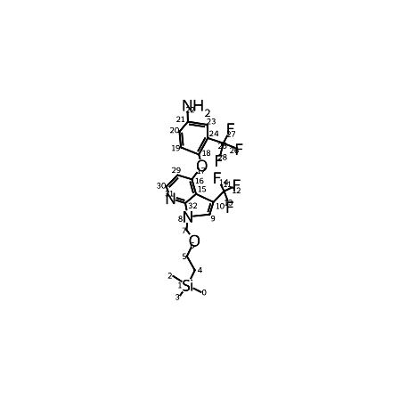 C[Si](C)(C)CCOCn1cc(C(F)(F)F)c2c(Oc3ccc(N)cc3C(F)(F)F)ccnc21